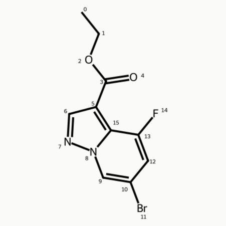 CCOC(=O)c1cnn2cc(Br)cc(F)c12